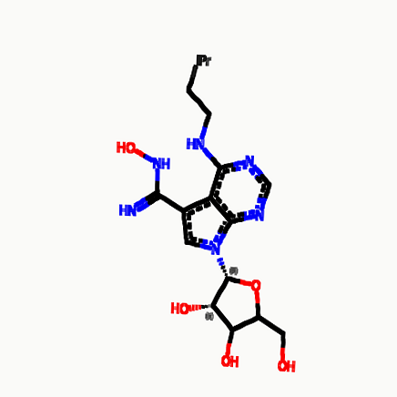 CC(C)CCNc1ncnc2c1c(C(=N)NO)cn2[C@@H]1OC(CO)C(O)[C@@H]1O